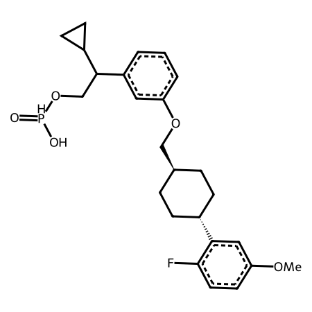 COc1ccc(F)c([C@H]2CC[C@H](COc3cccc(C(CO[PH](=O)O)C4CC4)c3)CC2)c1